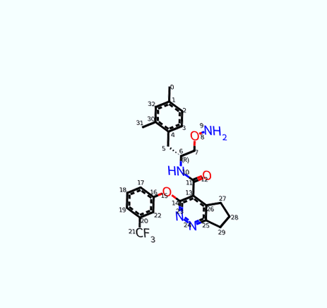 Cc1ccc(C[C@H](CON)NC(=O)c2c(Oc3cccc(C(F)(F)F)c3)nnc3c2CCC3)c(C)c1